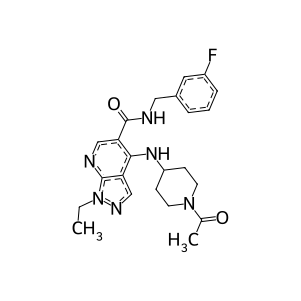 CCn1ncc2c(NC3CCN(C(C)=O)CC3)c(C(=O)NCc3cccc(F)c3)cnc21